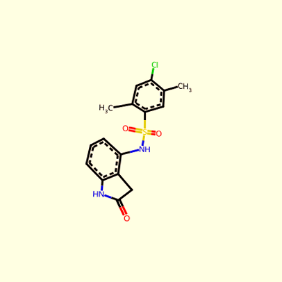 Cc1cc(S(=O)(=O)Nc2cccc3c2CC(=O)N3)c(C)cc1Cl